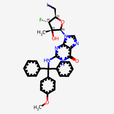 COc1ccc(C(Nc2nc3c(ncn3[C@@H]3O[C@H](CI)[C@@H](F)[C@@]3(C)O)c(=O)[nH]2)(c2ccccc2)c2ccccc2)cc1